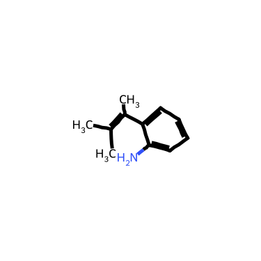 CC(C)=C(C)c1ccccc1N